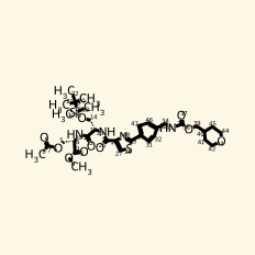 COC(=O)[C@H](COC(C)=O)NC(=O)[C@H](CO[Si](C)(C)C(C)(C)C)NC(=O)c1csc(-c2ccc(CNC(=O)OCC3CCOCC3)cc2)n1